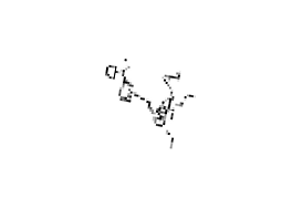 CCCCO[Si](CCc1cccc(C(Cl)CC)c1)(OCCCC)OCCCC